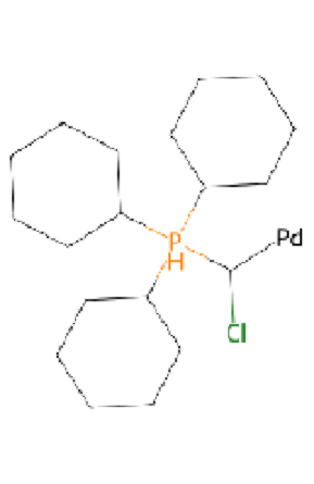 Cl[CH]([Pd])[PH](C1CCCCC1)(C1CCCCC1)C1CCCCC1